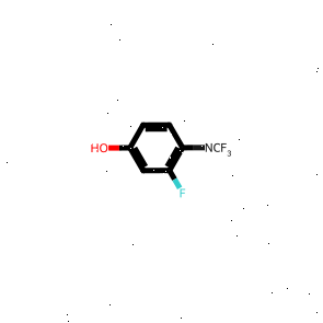 Oc1ccc(NC(F)(F)F)c(F)c1